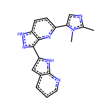 Cc1ncc(-c2ccc3[nH]nc(-c4cc5cccnc5[nH]4)c3n2)n1C